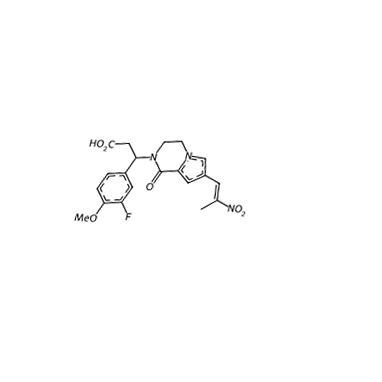 COc1ccc(C(CC(=O)O)N2CCn3cc(C=C(C)[N+](=O)[O-])cc3C2=O)cc1F